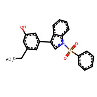 O=C(O)Cc1cc(O)cc(-c2cn(S(=O)(=O)c3ccccc3)c3ccccc23)c1